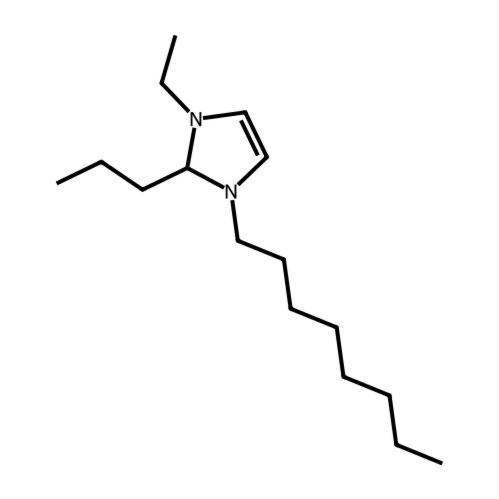 CCCCCCCCN1C=CN(CC)C1CCC